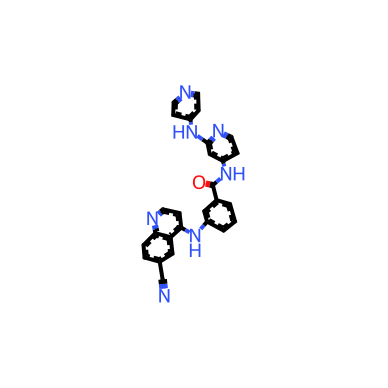 N#Cc1ccc2nccc(Nc3cccc(C(=O)Nc4ccnc(Nc5ccncc5)c4)c3)c2c1